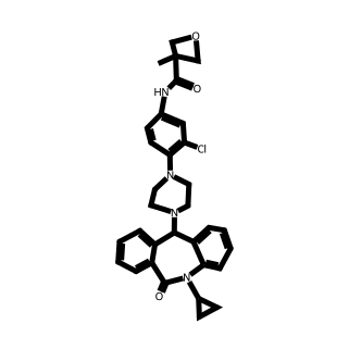 CC1(C(=O)Nc2ccc(N3CCN(C4c5ccccc5C(=O)N(C5CC5)c5ccccc54)CC3)c(Cl)c2)COC1